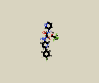 O=C(Nc1cccnc1)C(Nc1ccc(-c2ccc(F)cc2)nc1)OC(=O)C(F)(F)F